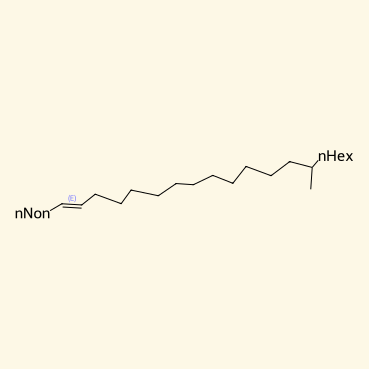 [CH2]CCCCCCCC/C=C/CCCCCCCCCCCC(C)CCCCC[CH2]